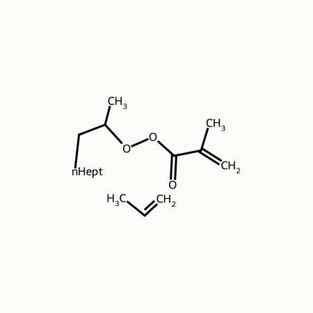 C=C(C)C(=O)OOC(C)CCCCCCCC.C=CC